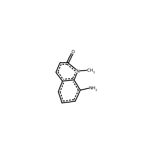 Cn1c(=O)ccc2cccc(N)c21